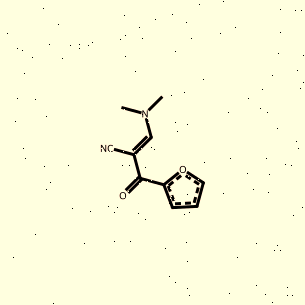 CN(C)C=C(C#N)C(=O)c1ccco1